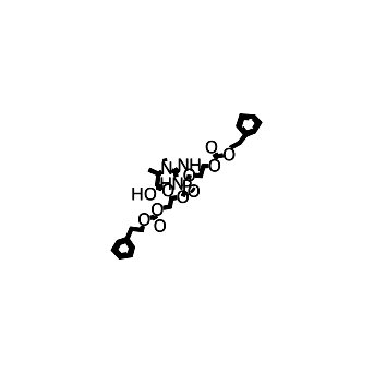 CC(C(=O)O)N(C)C(=N)NP(=O)(OCCOC(=O)OCCc1ccccc1)OCCOC(=O)OCCc1ccccc1